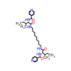 CCC(C)[C@H](NC(=O)c1ccncc1)C(=O)NCCCCCCCCCNC(=O)[C@@H](NC(=O)c1ccncc1)C(C)CC